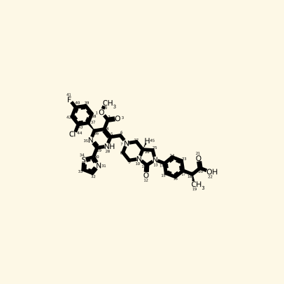 COC(=O)C1=C(CN2CCN3C(=O)N(c4ccc([C@H](C)C(=O)O)cc4)C[C@@H]3C2)NC(c2nccs2)=N[C@H]1c1ccc(F)cc1Cl